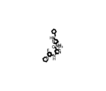 Cc1ncc(Nc2cc(F)cc(N3CCCCC3)c2)cc1C(=O)Nc1ccc(NCC2CCCCC2)nc1